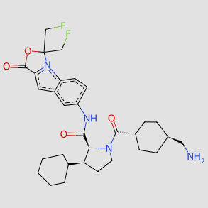 NC[C@H]1CC[C@H](C(=O)N2CC[C@@H](C3CCCCC3)[C@H]2C(=O)Nc2ccc3c(c2)cc2n3C(CF)(CF)OC2=O)CC1